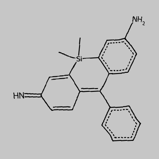 C[Si]1(C)C2=CC(=N)C=CC2=C(c2ccccc2)c2ccc(N)cc21